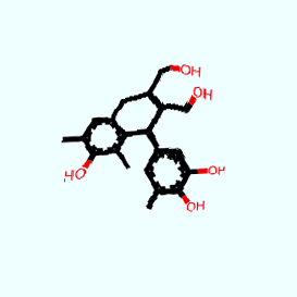 Cc1cc(C2c3c(cc(C)c(O)c3C)CC(CO)C2CO)cc(O)c1O